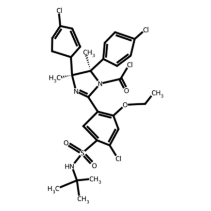 CCOc1cc(Cl)c(S(=O)(=O)NC(C)(C)C)cc1C1=N[C@@](C)(C2C=CC(Cl)=CC2)[C@@](C)(c2ccc(Cl)cc2)N1C(=O)Cl